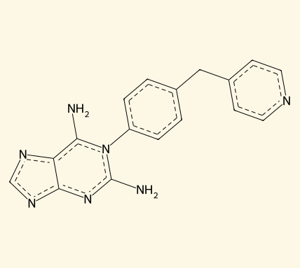 Nc1nc2ncnc-2c(N)n1-c1ccc(Cc2ccncc2)cc1